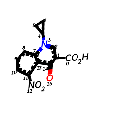 O=C(O)c1cn(C2CC2)c2cccc([N+](=O)[O-])c2c1=O